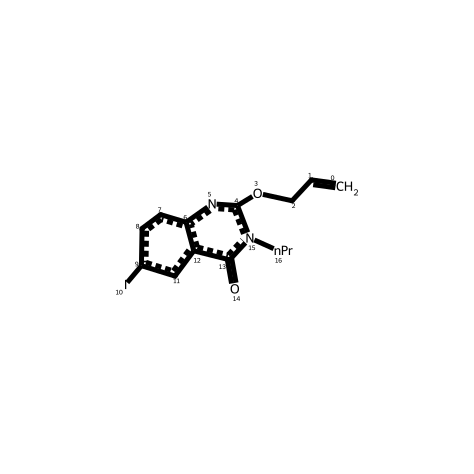 C=CCOc1nc2ccc(I)cc2c(=O)n1CCC